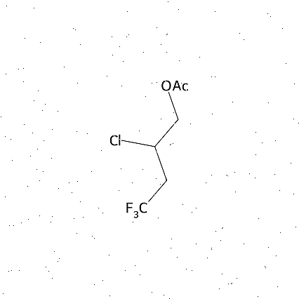 CC(=O)OCC(Cl)CC(F)(F)F